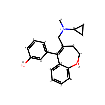 CN(CC1=C(c2cccc(O)c2)c2ccccc2OCC1)C1CC1